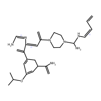 C=C/C=C\NC(N)N1CCN(C(=C)/C=C(\N=C/N)C(=C)C2=CC(OC(C)C)=CC(C(=C)N)C2)CC1